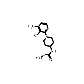 Cc1ccnc(N2CCC(NC(=O)OC(C)(C)C)CC2)c1Cl